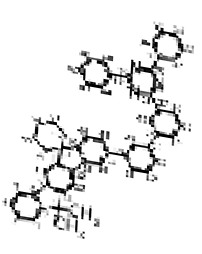 CC1(C)c2ccccc2-c2cc3c(cc21)-c1cc(-c2cccc(-c4cccc(-c5nc(-c6ccccc6)nc(-c6ccccc6)n5)c4)c2)ccc1C31CCCCC1